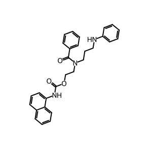 O=C(Nc1cccc2ccccc12)OCCN(CCCNc1ccccc1)C(=O)c1ccccc1